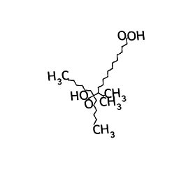 CCCCCCCC(CCCCCCC)(C(=O)O)C(CCCCCCCCCCCCC(=O)O)C(C)C